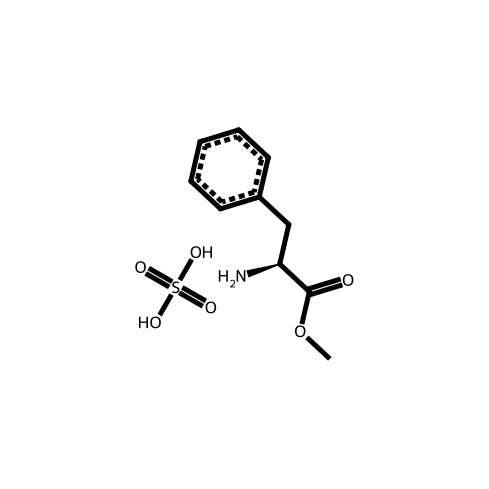 COC(=O)[C@@H](N)Cc1ccccc1.O=S(=O)(O)O